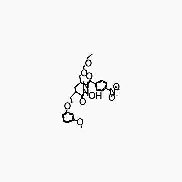 CCOCOCC(CC(CCOc1cccc(OC)c1)C(=O)NO)NC(=O)c1ccc([N+](=O)[O-])cc1